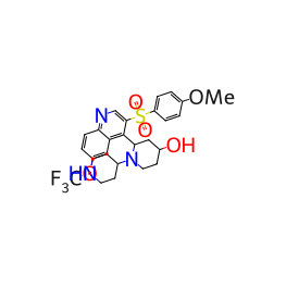 COc1ccc(S(=O)(=O)c2cnc3ccc(OC(F)(F)F)cc3c2C2CC(O)CCN2C2CCNCC2)cc1